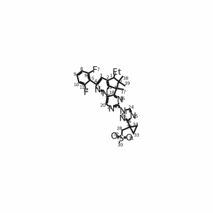 CCC1c2cc(-c3c(F)cccc3F)nnc2C(C)(c2ccnc(-n3cnc(C4(CS(C)(=O)=O)CC4)n3)n2)C1(C)C